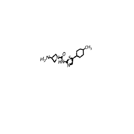 CC1CCC(c2cnc(NC(=O)N3CC(N)C3)s2)CC1